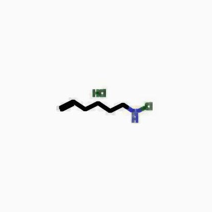 C=CCCCCNCl.Cl